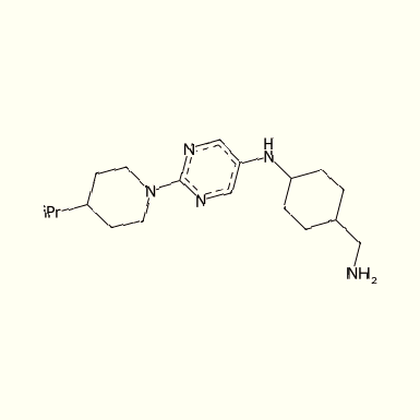 CC(C)C1CCN(c2ncc(NC3CCC(CN)CC3)cn2)CC1